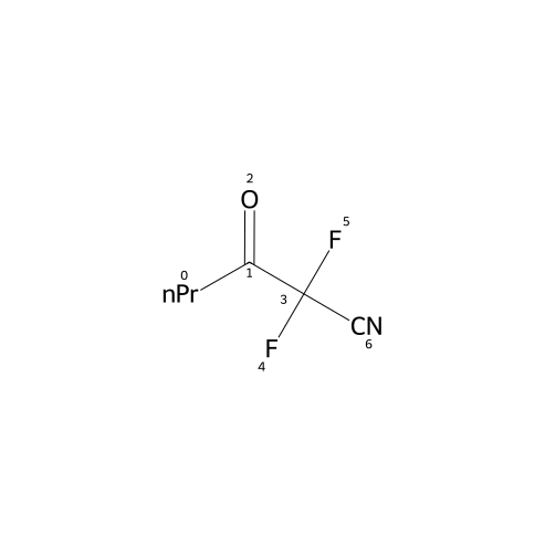 CCCC(=O)C(F)(F)C#N